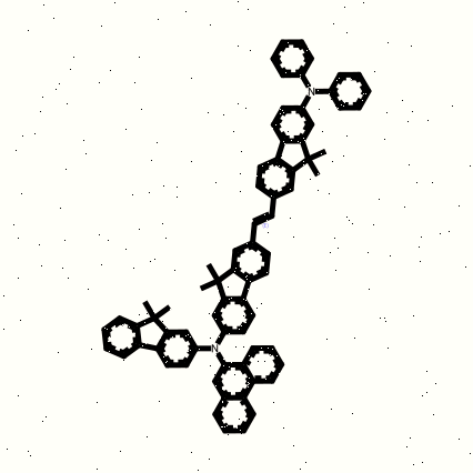 CC1(C)c2cc(/C=C/c3ccc4c(c3)C(C)(C)c3cc(N(c5ccc6c(c5)C(C)(C)c5ccccc5-6)c5cc6ccccc6c6ccccc56)ccc3-4)ccc2-c2ccc(N(c3ccccc3)c3ccccc3)cc21